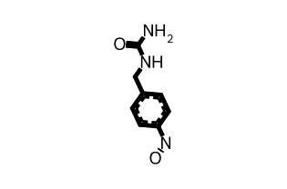 NC(=O)NCc1ccc(N=O)cc1